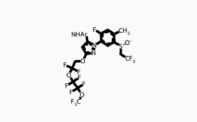 CC(=O)Nc1cc(OCC(F)(F)OC(F)(F)C(F)(F)OC(F)(F)F)nn1-c1cc([S+]([O-])CC(F)(F)F)c(C)cc1F